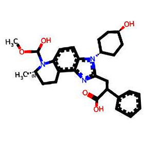 COC(O)N1c2ccc3c(nc(CC(C(=O)O)c4ccccc4)n3[C@H]3CC[C@H](O)CC3)c2CC[C@@H]1C